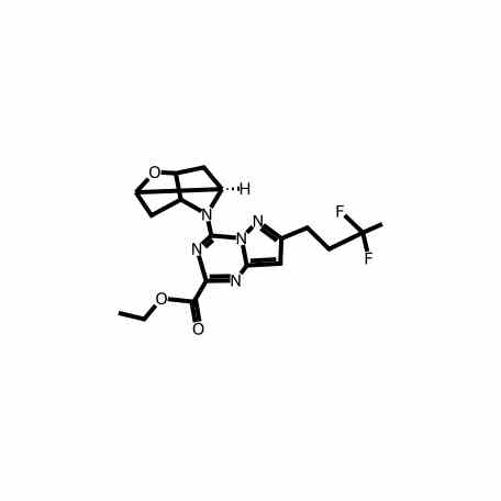 CCOC(=O)c1nc(N2C3CC4OC3C[C@H]42)n2nc(CCC(C)(F)F)cc2n1